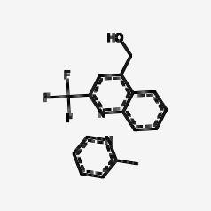 Cc1ccccn1.OCc1cc(C(F)(F)F)nc2ccccc12